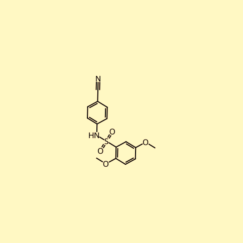 COc1ccc(OC)c(S(=O)(=O)Nc2ccc(C#N)cc2)c1